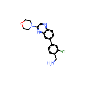 NCc1ccc(-c2ccc3ncc(N4CCOCC4)nc3c2)cc1Cl